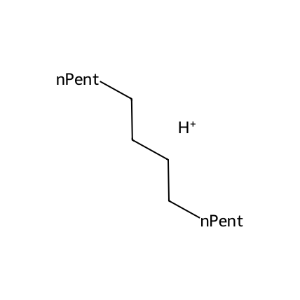 CCCCCCCCCCCCCC.[H+]